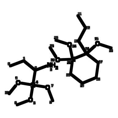 CCC(N)[Si](OC)(OC)OC.CCCC1(OC)CCCC[Si]1(OC)OC